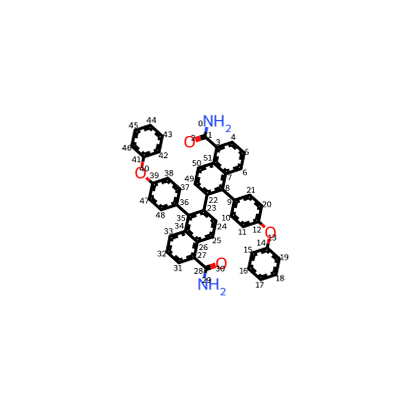 NC(=O)c1cccc2c(-c3ccc(Oc4ccccc4)cc3)c(-c3ccc4c(C(N)=O)cccc4c3-c3ccc(Oc4ccccc4)cc3)ccc12